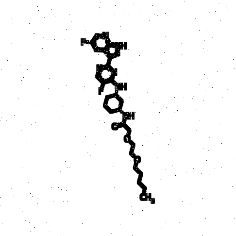 CCCCCOCCOCC(=O)N[C@@H]1CCC[C@H](Nc2nc(-c3c[nH]c4ncc(F)cc34)ncc2F)C1